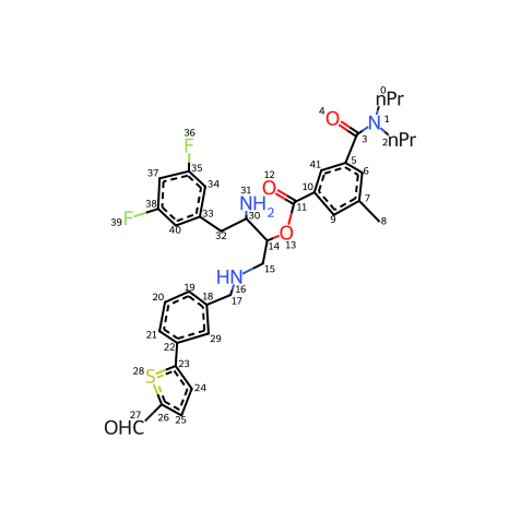 CCCN(CCC)C(=O)c1cc(C)cc(C(=O)OC(CNCc2cccc(-c3ccc(C=O)s3)c2)C(N)Cc2cc(F)cc(F)c2)c1